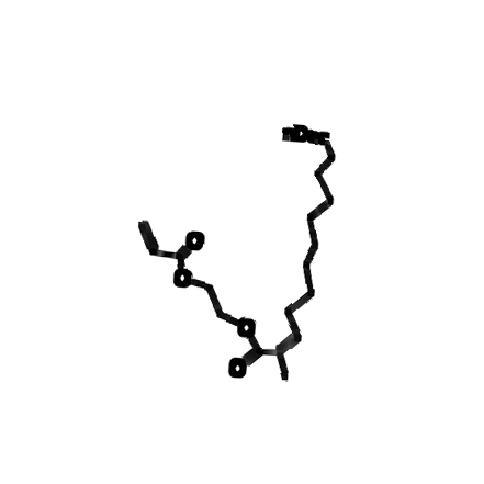 C=CC(=O)OCCOC(=O)C(C)=CCCCCCCCCCCCCCCCCCC